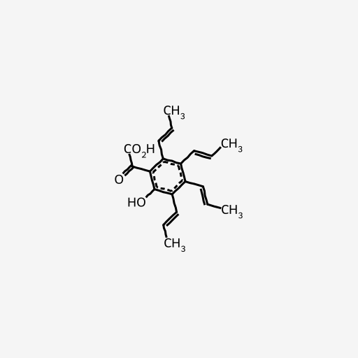 CC=Cc1c(O)c(C(=O)C(=O)O)c(C=CC)c(C=CC)c1C=CC